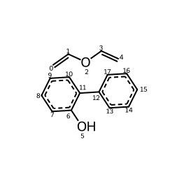 C=COC=C.Oc1ccccc1-c1ccccc1